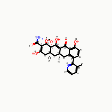 CO[C@@]12C(=O)C(C(N)=O)=C(O)C[C@@H]1C[C@@H]1Cc3c(-c4ncccc4C)ccc(O)c3C(=O)C1=C2O